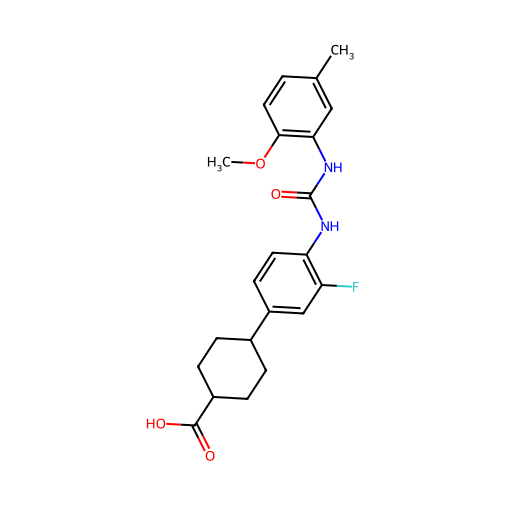 COc1ccc(C)cc1NC(=O)Nc1ccc(C2CCC(C(=O)O)CC2)cc1F